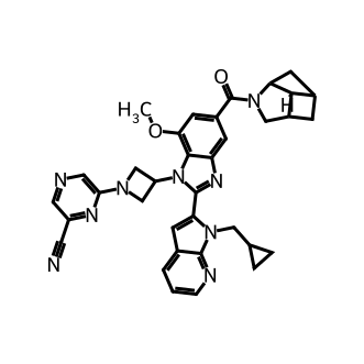 COc1cc(C(=O)N2CC3CC4CC2[C@H]43)cc2nc(-c3cc4cccnc4n3CC3CC3)n(C3CN(c4cncc(C#N)n4)C3)c12